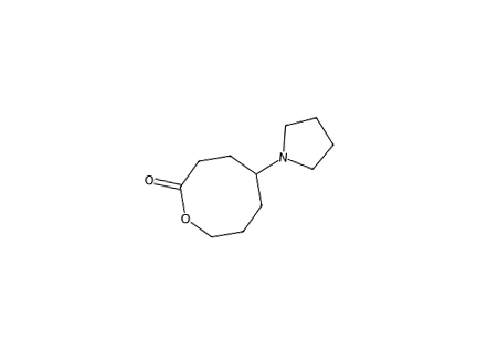 O=C1CCC(N2CCCC2)CCCO1